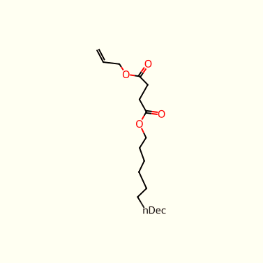 C=CCOC(=O)CCC(=O)OCCCCCCCCCCCCCCCC